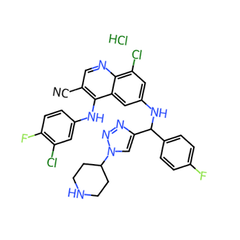 Cl.N#Cc1cnc2c(Cl)cc(NC(c3ccc(F)cc3)c3cn(C4CCNCC4)nn3)cc2c1Nc1ccc(F)c(Cl)c1